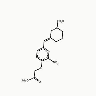 COC(=O)COc1ccc(C=C2CCCN(C(=O)O)C2)cc1[N+](=O)[O-]